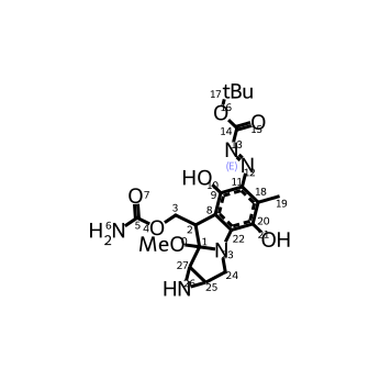 COC12C(COC(N)=O)c3c(O)c(/N=N/C(=O)OC(C)(C)C)c(C)c(O)c3N1CC1NC12